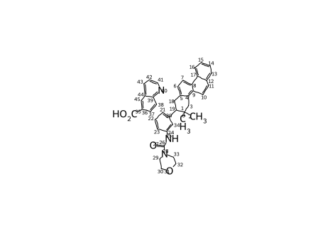 CC1(C)Cc2c(ccc3c2ccc2ccccc23)CC1c1cccc(NC(=O)N2CCOCC2)c1.O=C(O)c1ccc2ncccc2c1